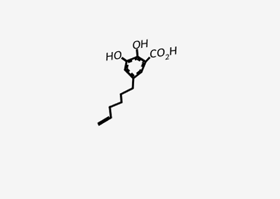 C=CCCCCc1cc(O)c(O)c(C(=O)O)c1